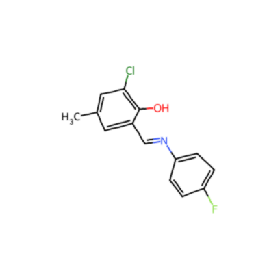 Cc1cc(Cl)c(O)c(/C=N/c2ccc(F)cc2)c1